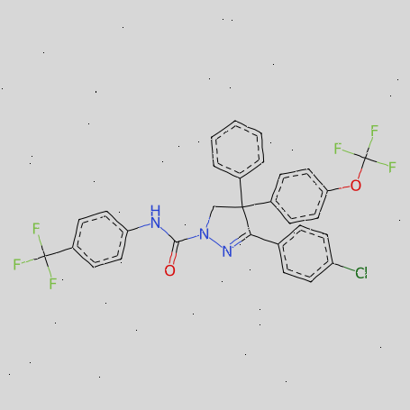 O=C(Nc1ccc(C(F)(F)F)cc1)N1CC(c2ccccc2)(c2ccc(OC(F)(F)F)cc2)C(c2ccc(Cl)cc2)=N1